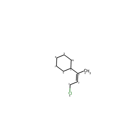 C/C(=C/CCl)C1CCCCC1